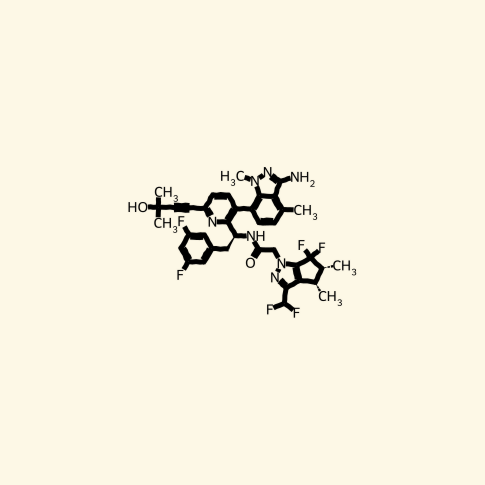 Cc1ccc(-c2ccc(C#CC(C)(C)O)nc2[C@H](Cc2cc(F)cc(F)c2)NC(=O)Cn2nc(C(F)F)c3c2C(F)(F)[C@H](C)[C@@H]3C)c2c1c(N)nn2C